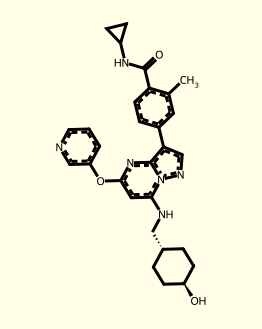 Cc1cc(-c2cnn3c(NC[C@H]4CC[C@H](O)CC4)cc(Oc4cccnc4)nc23)ccc1C(=O)NC1CC1